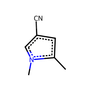 Cc1cc(C#N)cn1C